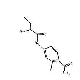 CCC(Br)C(=O)Nc1ccc(C(N)=O)c(F)c1